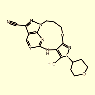 Cc1c2c(nn1C1CCOCC1)OCCCn1nc(C#N)c3cnc(nc31)N2